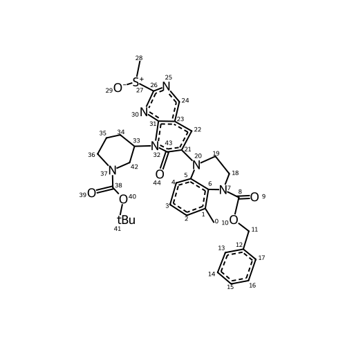 Cc1cccc2c1N(C(=O)OCc1ccccc1)CCN2c1cc2cnc([S+](C)[O-])nc2n(C2CCCN(C(=O)OC(C)(C)C)C2)c1=O